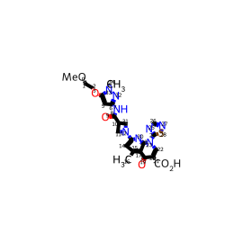 COCCOc1cc(NC(=O)C2CN(c3cc(C)c4c(=O)c(C(=O)O)cn(-c5ncns5)c4n3)C2)nn1C